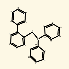 c1ccc(-c2ccccc2CP(c2ccccc2)c2ccccc2)cc1